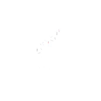 COC(CCOCC(C)(C)C)c1cccc(-c2csc(NC(=O)c3cc(F)c(/C=C(\C)C(=O)O)c(F)c3)n2)c1F